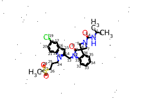 CC(C)NC(=O)N1CC2(C1)C(=O)N(Cc1cc3cc(Cl)ccc3n1CCCS(C)(=O)=O)c1ccccc12